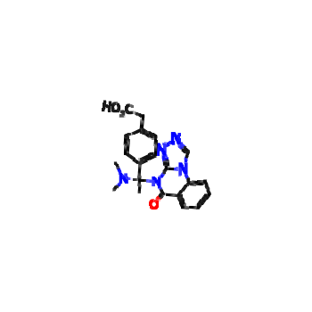 CN(C)C(C)(c1ccc(CC(=O)O)cc1)n1c(=O)c2ccccc2n2cnnc12